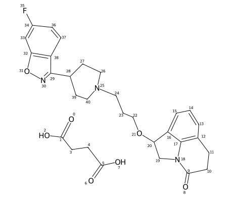 O=C(O)CCC(=O)O.O=C1CCc2cccc3c2N1CC3OCCCN1CCC(c2noc3cc(F)ccc23)CC1